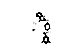 Cc1cc(N[C@H]2CC[C@@H](NC(=O)c3cc(F)cc(Cl)c3)CC2)nc2ccccc12.Cl